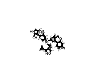 Cc1c[nH]c(C)c1-c1ncc(NC(=O)[C@@H](NC(=O)c2conc2C2CC2)C2c3cc(F)c(F)cc3OCC23CC3)cc1F